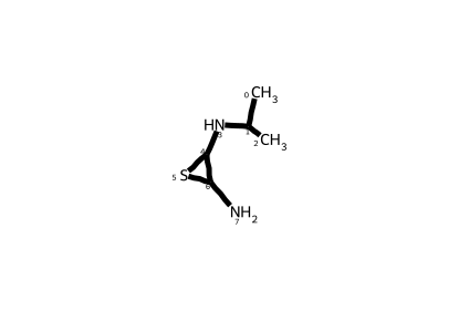 CC(C)NC1SC1N